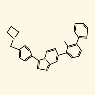 Cc1c(-c2ccccc2)cccc1-c1ccn2c(-c3ccc(CN4CCC4)cc3)cnc2c1